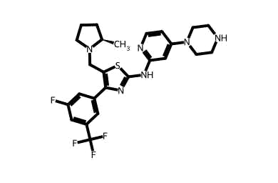 C[C@@H]1CCCN1Cc1sc(Nc2cc(N3CCNCC3)ccn2)nc1-c1cc(F)cc(C(F)(F)F)c1